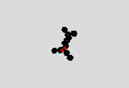 CC1(C)c2cc(N(c3ccc(-c4ccccc4)cc3)c3ccc(-c4ccccc4)cc3)ccc2-c2cc3c(cc21)-c1cc(-c2ccccc2)cc(-c2ccccc2)c1C3(C)C